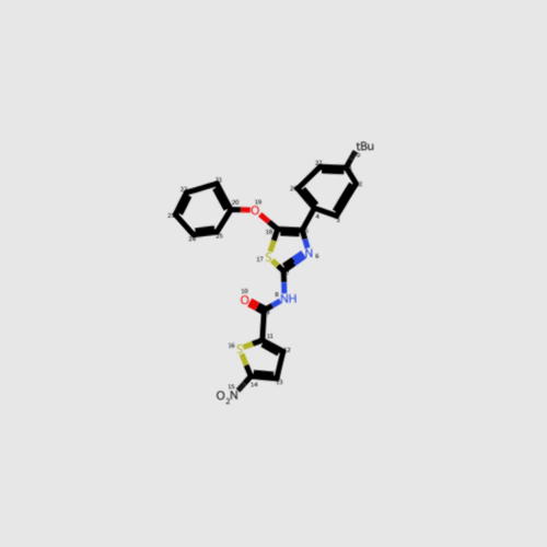 CC(C)(C)c1ccc(-c2nc(NC(=O)c3ccc([N+](=O)[O-])s3)sc2Oc2ccccc2)cc1